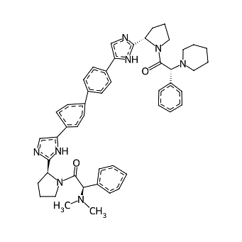 CN(C)[C@@H](C(=O)N1CCC[C@H]1c1ncc(-c2ccc(-c3ccc(-c4cnc([C@@H]5CCCN5C(=O)[C@@H](c5ccccc5)N5CCCCC5)[nH]4)cc3)cc2)[nH]1)c1ccccc1